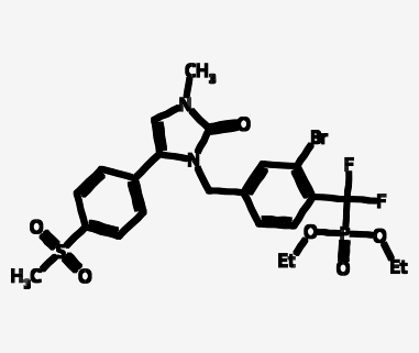 CCOP(=O)(OCC)C(F)(F)c1ccc(Cn2c(-c3ccc(S(C)(=O)=O)cc3)cn(C)c2=O)cc1Br